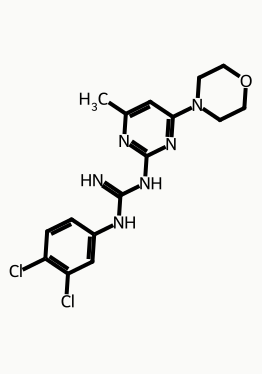 Cc1cc(N2CCOCC2)nc(NC(=N)Nc2ccc(Cl)c(Cl)c2)n1